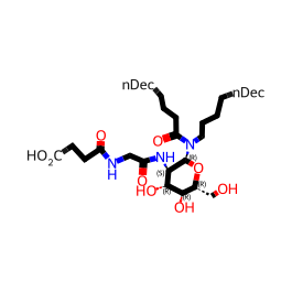 CCCCCCCCCCCCCCN(C(=O)CCCCCCCCCCCCC)[C@@H]1O[C@H](CO)[C@H](O)[C@H](O)[C@@H]1NC(=O)CNC(=O)CCC(=O)O